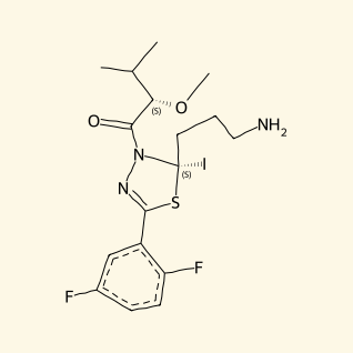 CO[C@H](C(=O)N1N=C(c2cc(F)ccc2F)S[C@]1(I)CCCN)C(C)C